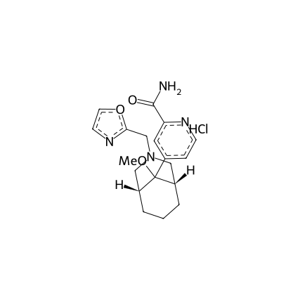 COC1(c2ccnc(C(N)=O)c2)[C@@H]2CCC[C@H]1CN(Cc1ncco1)C2.Cl